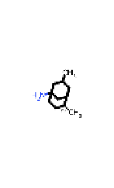 CC1CC2CC(N)(CC[C@@H]2C)C1